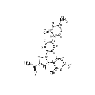 NC(=O)C1=NN(c2ccc(Cl)cc2Cl)C(c2ccc(-n3ccc(N)nc3=O)cc2)C1